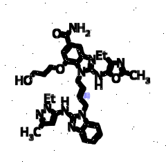 CCc1nc(C)oc1Nc1nc2cc(C(N)=O)cc(OCCCO)c2n1C/C=C/Cn1c(Nc2cc(C)nn2CC)nc2ccccc21